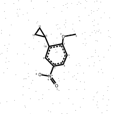 COc1ccc([N+](=O)[O-])cc1C1CC1